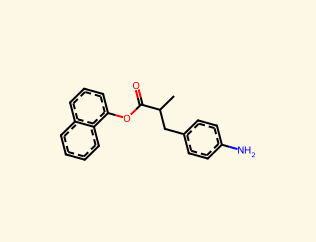 CC(Cc1ccc(N)cc1)C(=O)Oc1cccc2ccccc12